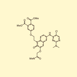 CNC(=O)COc1cc2cc(Nc3nc(N(C)C)ncc3Cl)ccc2n(CCOc2ccc(C(=O)OC)c(C(=O)OC)c2)c1=O